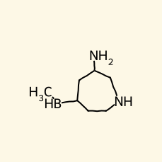 CBC1CCNCC(N)C1